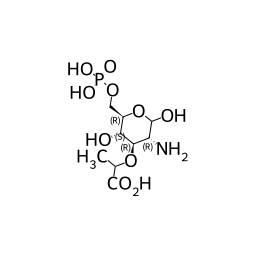 CC(O[C@H]1[C@H](O)[C@@H](COP(=O)(O)O)OC(O)[C@@H]1N)C(=O)O